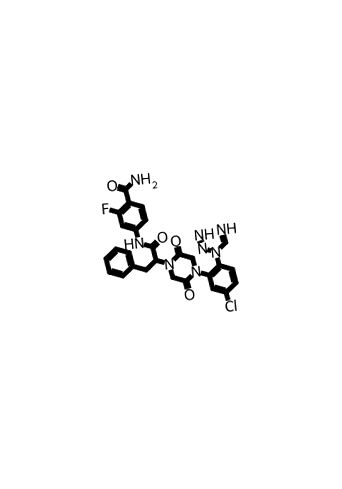 N=CN(N=N)c1ccc(Cl)cc1N1CC(=O)N(C(Cc2ccccc2)C(=O)Nc2ccc(C(N)=O)c(F)c2)CC1=O